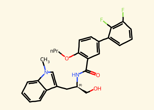 CCCOc1ccc(-c2cccc(F)c2F)cc1C(=O)N[C@@H](CO)Cc1cn(C)c2ccccc12